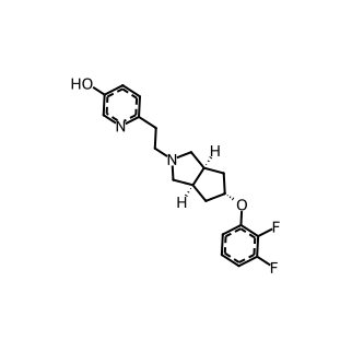 Oc1ccc(CCN2C[C@H]3C[C@H](Oc4cccc(F)c4F)C[C@H]3C2)nc1